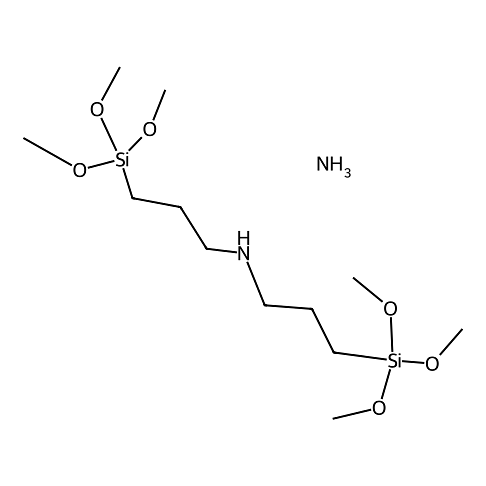 CO[Si](CCCNCCC[Si](OC)(OC)OC)(OC)OC.N